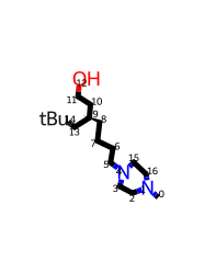 CN1CCN(CCCC[C@H](CCO)CC(C)(C)C)CC1